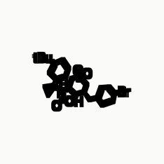 CC(C)(C)c1cccc(C2(N3C(=O)O[C@@H]4[C@H](Cc5ccc(Br)cc5)CS(=O)(=O)C[C@@H]43)CC2)c1